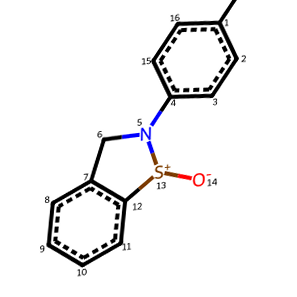 Cc1ccc(N2Cc3ccccc3[S+]2[O-])cc1